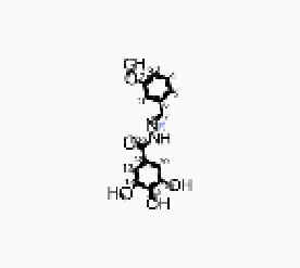 COc1cccc(/C=N/NC(=O)c2cc(O)c(O)c(O)c2)c1